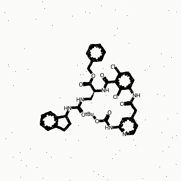 CC(C)(C)OC(=O)Nc1cc(CC(=O)Nc2ccc(Cl)c(C(=O)N[C@@H](CNC(=O)NC3CCc4ccccc43)C(=O)OCc3ccccc3)c2Cl)ccn1